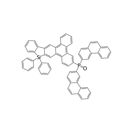 O=P(c1ccc2ccc3ccccc3c2c1)(c1ccc2ccc3ccccc3c2c1)c1ccc2c(c1)c1ccccc1c1cc3c(cc21)[Si](c1ccccc1)(c1ccccc1)c1ccccc1-3